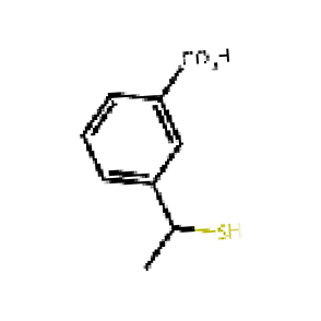 CC(S)c1cccc(C(=O)O)c1